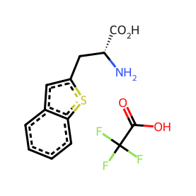 N[C@H](Cc1cc2ccccc2s1)C(=O)O.O=C(O)C(F)(F)F